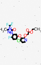 CCOC(=O)COc1ncccc1Oc1cc(-n2nc(C)n(C(F)F)c2=O)c(F)cc1Cl